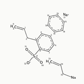 C=CCc1ccccc1S(=O)(=O)[O-].C=C[CH2][Na].[Na+].c1ccccc1